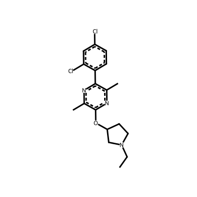 CCN1CCC(Oc2nc(C)c(-c3ccc(Cl)cc3Cl)nc2C)C1